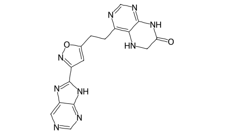 O=C1CNc2c(CCc3cc(-c4nc5cncnc5[nH]4)no3)ncnc2N1